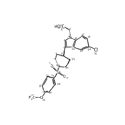 O=C(O)Cn1cc(C2CCN(S(=O)(=O)c3ccc(OC(F)(F)F)cc3)CC2)c2cc(Cl)ccc21